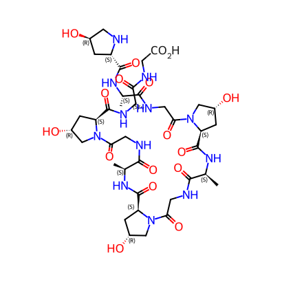 C[C@H](NC(=O)[C@@H]1C[C@@H](O)CN1)C(=O)NCC(=O)N1C[C@H](O)C[C@H]1C(=O)N[C@@H](C)C(=O)NCC(=O)N1C[C@H](O)C[C@H]1C(=O)N[C@@H](C)C(=O)NCC(=O)N1C[C@H](O)C[C@H]1C(=O)N[C@@H](C)C(=O)NCC(=O)O